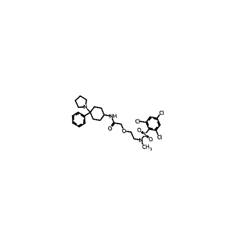 CN(CCOCC(=O)NC1CCC(c2ccccc2)(N2CCCC2)CC1)S(=O)(=O)c1c(Cl)cc(Cl)cc1Cl